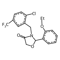 CCOc1ccccc1C1OCC(=O)N1Cc1cc(C(F)(F)F)ccc1Cl